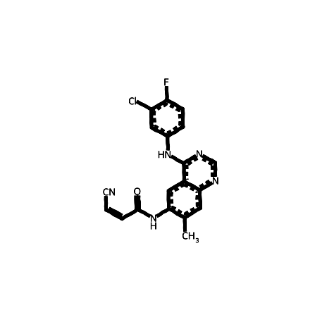 Cc1cc2ncnc(Nc3ccc(F)c(Cl)c3)c2cc1NC(=O)/C=C\C#N